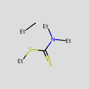 CCC.CCSC(=S)N(CC)CC